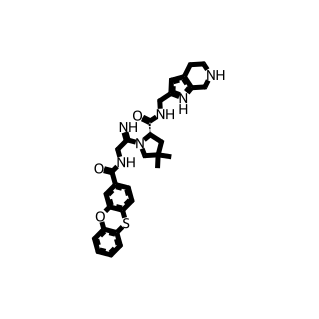 CC1(C)C[C@@H](C(=O)NCc2cc3c([nH]2)CNCC3)N(C(=N)CNC(=O)c2ccc3c(c2)Oc2ccccc2S3)C1